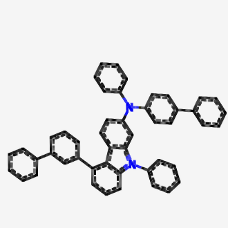 c1ccc(-c2ccc(N(c3ccccc3)c3ccc4c5c(-c6cccc(-c7ccccc7)c6)cccc5n(-c5ccccc5)c4c3)cc2)cc1